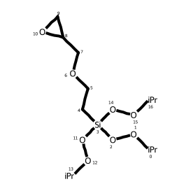 CC(C)OO[Si](CCOCC1CO1)(OOC(C)C)OOC(C)C